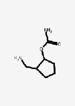 NCC1CCCC1OC(N)=O